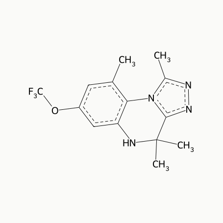 Cc1cc(OC(F)(F)F)cc2c1-n1c(C)nnc1C(C)(C)N2